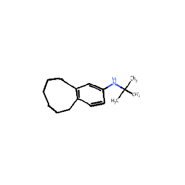 CC(C)(C)Nc1ccc2c(c1)CCCCCC2